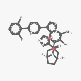 CC(=O)c1c([C@H]2C[C@H]3CC[C@@H](C2)N3C(=O)c2nnc[nH]2)nc2c(-c3ccc(-c4c(F)cccc4F)nc3)cnn2c1N